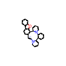 C1=CCN2/C=C/c3ccc4c(oc5ccccc54)c3C3C=CC=CN3c3ccccc3C2=C1